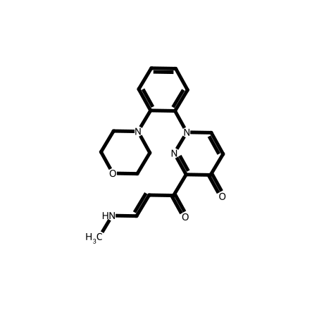 CNC=CC(=O)c1nn(-c2ccccc2N2CCOCC2)ccc1=O